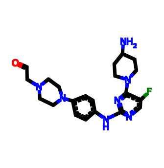 NC1CCN(c2nc(Nc3ccc(N4CCN(CC=O)CC4)cc3)ncc2F)CC1